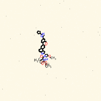 CCO[C@H]1C[C@@H](C2=Nc3ccc4cc5c(cc4c3C2)OCc2cc(C3=NC(C4CCCC4)=NC3)ccc2-5)N(C(=O)[C@@H](NC(=O)OC)C(C)C)C1